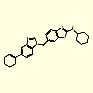 C1=C(c2ccc3c(c2)ncn3Cc2ccc3nc(NC4CCCCC4)sc3c2)CCCC1